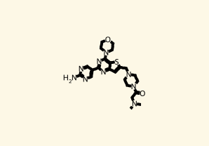 CN(C)CC(=O)N1CCN(Cc2cc3nc(-c4cnc(N)nc4)nc(N4CCOCC4)c3s2)CC1